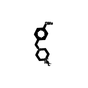 [CH2-][NH+]1CCN(Cc2ccc(OC)cc2)CC1